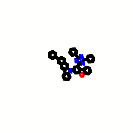 c1ccc(-c2ccc3cc4c(cc3c2)c2ccccc2n4-c2cc(-c3nc(-c4ccccc4)nc(-c4ccccc4)n3)c3c(c2)oc2ccccc23)cc1